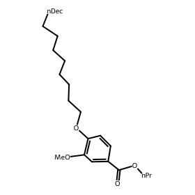 CCCCCCCCCCCCCCCCCCOc1ccc(C(=O)OCCC)cc1OC